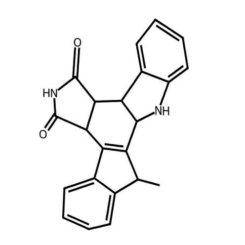 CC1C2=C(c3ccccc31)C1C(=O)NC(=O)C1C1c3ccccc3NC21